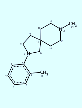 Cc1ccccc1N1CCC2(CCN(C)CC2)C1